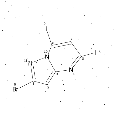 Brc1cc2nc(I)cc(I)n2n1